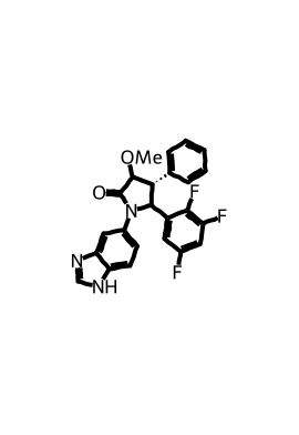 COC1C(=O)N(c2ccc3[nH]cnc3c2)C(c2cc(F)cc(F)c2F)[C@H]1c1ccccc1